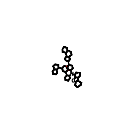 c1cc(-c2ccccc2N(c2ccc(-c3ccc4c(ccc5ccccc54)c3)cc2)c2cccc3c2oc2ccccc23)cc(-c2cccc3ccccc23)c1